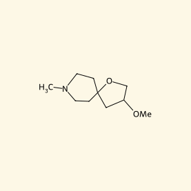 COC1COC2(CCN(C)CC2)C1